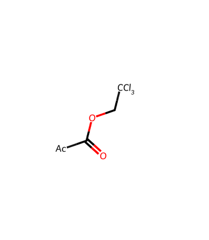 CC(=O)C(=O)OCC(Cl)(Cl)Cl